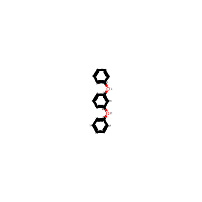 [c]1cccc(Oc2cccc(Oc3ccccc3)c2)c1